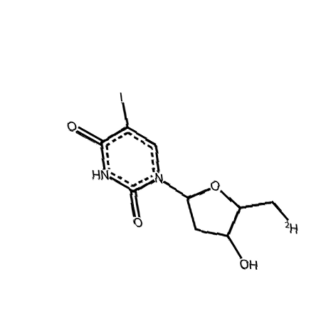 [2H]CC1OC(n2cc(I)c(=O)[nH]c2=O)CC1O